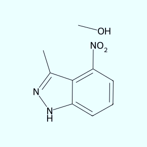 CO.Cc1n[nH]c2cccc([N+](=O)[O-])c12